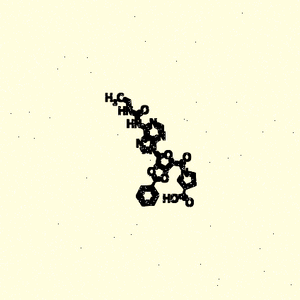 CCNC(=O)Nc1ncnc2c1ncn2C1OC(C(=O)N2CC[C@H](C(=O)O)C2)C2O[C@H](c3ccccc3)OC21